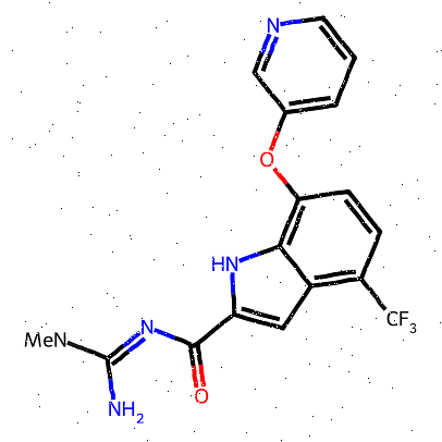 CNC(N)=NC(=O)c1cc2c(C(F)(F)F)ccc(Oc3cccnc3)c2[nH]1